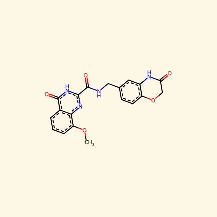 COc1cccc2c(=O)[nH]c(C(=O)NCc3ccc4c(c3)NC(=O)CO4)nc12